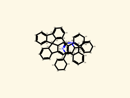 C1=CC2C3=C(CC4C(=C3)C3C=CC=CC3C43c4ccccc4-c4cccc(C5=NC(C6=CCCCC6)=CC(C6=CCCC=C6)N5)c43)C3=C(CCC=C3)C2C=C1